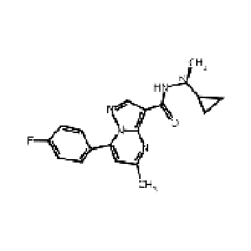 Cc1cc(-c2ccc(F)cc2)n2ncc(C(=O)N[C@@H](C)C3CC3)c2n1